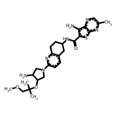 COCC(C)(C)OC1CN(c2ccc3c(n2)CCC(NC(=O)c2sc4nc(C)cnc4c2N)C3)CC1N